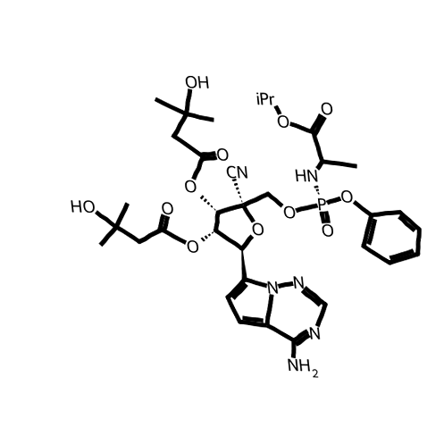 CC(C)OC(=O)C(C)N[P@](=O)(OC[C@@]1(C#N)O[C@@H](c2ccc3c(N)ncnn23)[C@H](OC(=O)CC(C)(C)O)[C@@H]1OC(=O)CC(C)(C)O)Oc1ccccc1